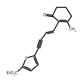 CCOC(=O)c1ccc(C#CC=CC2=C(C)CCCC2=O)s1